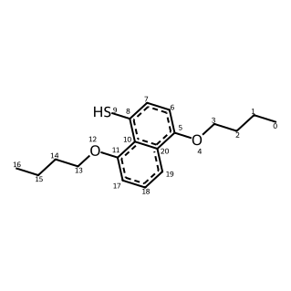 CCCCOc1ccc(S)c2c(OCCCC)cccc12